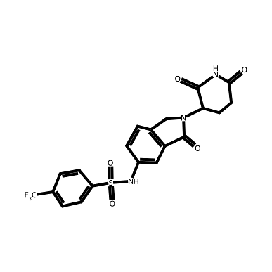 O=C1CCC(N2Cc3ccc(NS(=O)(=O)c4ccc(C(F)(F)F)cc4)cc3C2=O)C(=O)N1